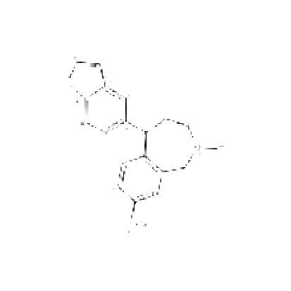 COc1ccc2c(c1)CN(C)CCC2c1ccc2sccc2c1